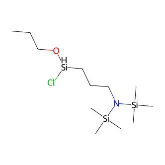 CCCO[SiH](Cl)CCCN([Si](C)(C)C)[Si](C)(C)C